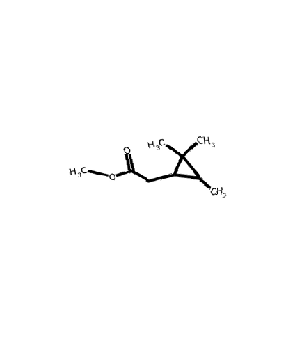 COC(=O)CC1C(C)C1(C)C